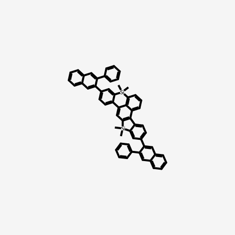 C[Si]1(C)c2cc(-c3cc4ccccc4cc3-c3ccccc3)ccc2-c2c1cc1c3c(cccc23)[Si](C)(C)c2cc(-c3cc4ccccc4cc3-c3ccccc3)ccc2-1